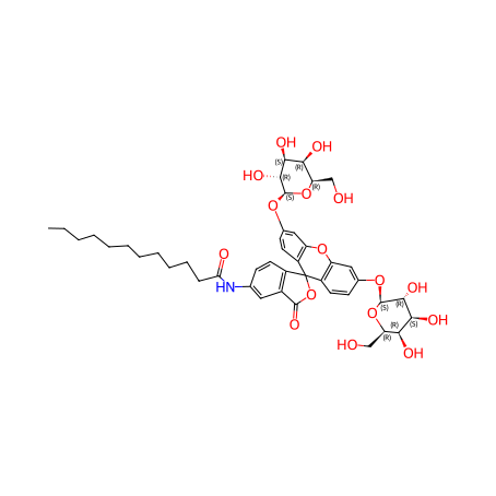 CCCCCCCCCCCC(=O)Nc1ccc2c(c1)C(=O)OC21c2ccc(O[C@@H]3O[C@H](CO)[C@H](O)[C@H](O)[C@H]3O)cc2Oc2cc(O[C@@H]3O[C@H](CO)[C@H](O)[C@H](O)[C@H]3O)ccc21